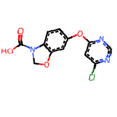 O=C(O)N1COc2cc(Oc3cc(Cl)ncn3)ccc21